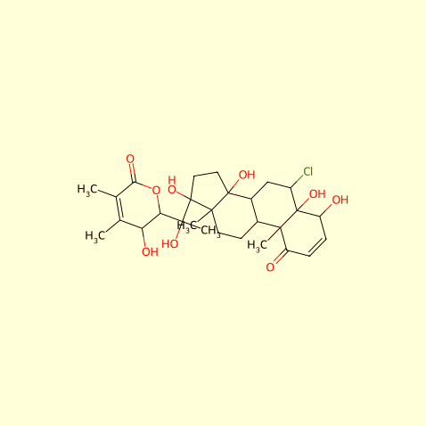 CC1=C(C)C(O)C(C(C)(O)C2(O)CCC3(O)C4CC(Cl)C5(O)C(O)C=CC(=O)C5(C)C4CCC32C)OC1=O